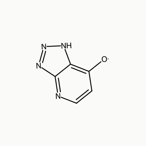 [O]c1ccnc2nn[nH]c12